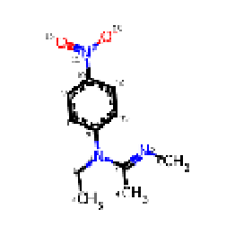 CCN(C(C)=NC)c1ccc([N+](=O)[O-])cc1